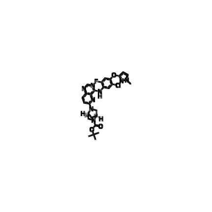 Cn1ccc(Oc2cc(F)c(Nc3ncnc4ccc(N5C[C@@H]6C[C@H]5CN6C(=O)OC(C)(C)C)nc34)cc2Cl)n1